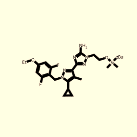 CCOc1cc(F)c(Cn2nc(-c3nc(N)n(CCO[Si](C)(C)C(C)(C)C)n3)c(C)c2C2CC2)c(F)c1